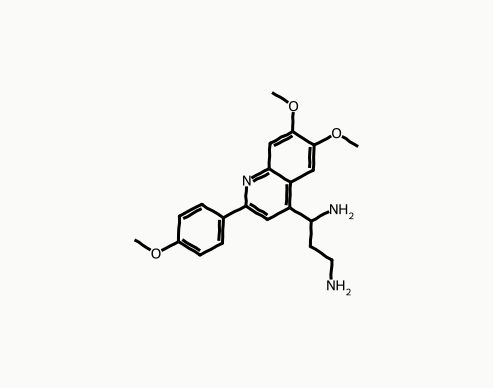 COc1ccc(-c2cc(C(N)CCN)c3cc(OC)c(OC)cc3n2)cc1